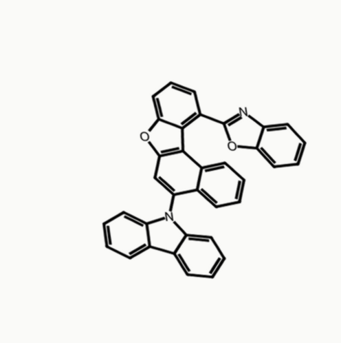 c1ccc2oc(-c3cccc4oc5cc(-n6c7ccccc7c7ccccc76)c6ccccc6c5c34)nc2c1